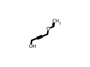 C=COCC#CCO